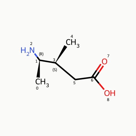 C[C@@H](N)[C@@H](C)CC(=O)O